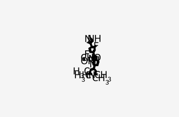 CC1(C)C=C(c2ccn3cc(-c4cc(F)c(-c5cn[nH]c5)cc4F)nc3n2)CC(C)(C)N1.O=CO